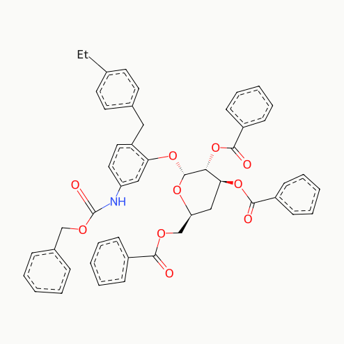 CCc1ccc(Cc2ccc(NC(=O)OCc3ccccc3)cc2O[C@H]2O[C@H](COC(=O)c3ccccc3)C[C@H](OC(=O)c3ccccc3)[C@H]2OC(=O)c2ccccc2)cc1